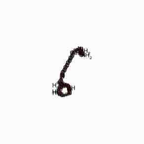 CO[C@H]1C[C@@H]2CC[C@@H](C)[C@@](O)(O2)C(=O)C(=O)N2CCCC[C@H]2C(=O)O[C@H]([C@H](N)C[C@@H]2CC[C@@H](OCCCCc3cn(CCOCCOCCOCCOCCOCCOCCOCCOCCC(=O)NCc4ccc(Cn5nc(-c6ccc7oc(N)nc7c6)c6c(N)ncnc65)cc4)nn3)[C@H](OC)C2)CC(=O)[C@H](C)/C=C(\C)[C@@H](O)[C@@H](O)C(=O)[C@H](C)C[C@H](C)/C=C/C=C/C=C/1C